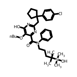 CCCCOc1c(O)nc(CC2(c3ccc(Cl)cc3)CCCC2)nc1C(=O)N(CCCC(C)(C)[Si](C)(C)O)c1ccccc1